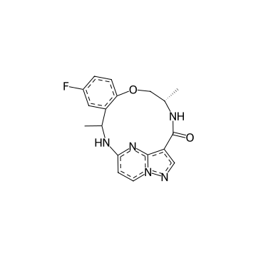 CC1Nc2ccn3ncc(c3n2)C(=O)N[C@@H](C)COc2ccc(F)cc21